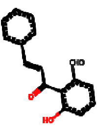 O=Cc1cccc(O)c1C(=O)C=Cc1ccccc1